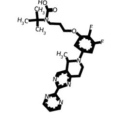 CC1c2cnc(-c3ncccn3)nc2CCN1c1cc(F)c(F)c(OCCCN(C(=O)O)C(C)(C)C)c1